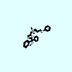 COC(c1ccccc1)(c1ccccc1)c1ncc(C[N+](C)(C)CCCOc2ccccc2)o1